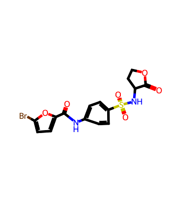 O=C(Nc1ccc(S(=O)(=O)NC2CCOC2=O)cc1)c1ccc(Br)o1